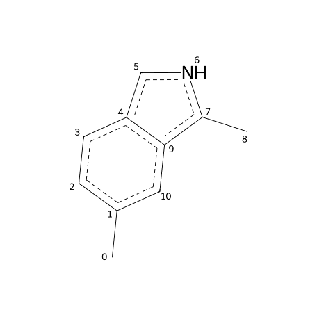 Cc1ccc2c[nH]c(C)c2c1